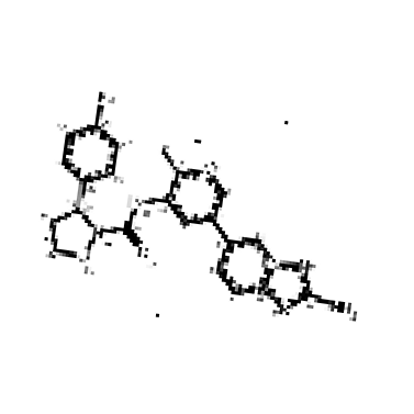 Cc1ncc(-c2ccc3nc(N)nn3c2)cc1NC(=O)N1OCC[C@H]1c1ccc(F)cc1